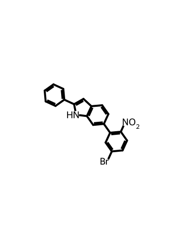 O=[N+]([O-])c1ccc(Br)cc1-c1ccc2cc(-c3ccccc3)[nH]c2c1